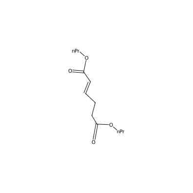 CCCOC(=O)C=CCCC(=O)OCCC